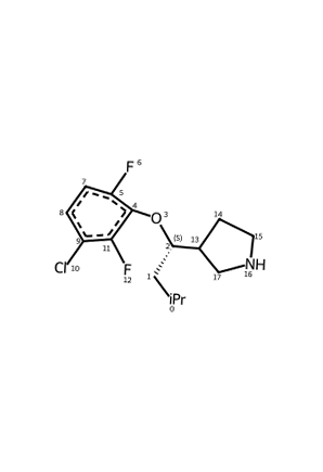 CC(C)C[C@H](Oc1c(F)ccc(Cl)c1F)C1CCNC1